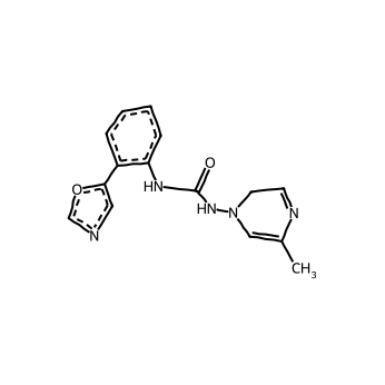 CC1=CN(NC(=O)Nc2ccccc2-c2cnco2)CC=N1